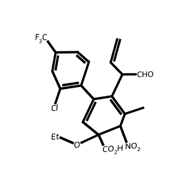 C=CC(C=O)C1=C(C)C([N+](=O)[O-])C(OCC)(C(=O)O)C=C1c1ccc(C(F)(F)F)cc1Cl